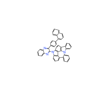 c1ccc2c(-c3ccc(-c4nc5ccccc5nc4-n4c5cccc6c7ccccc7n7c8ccccc8c8ccc4c(c65)c87)cc3)cccc2c1